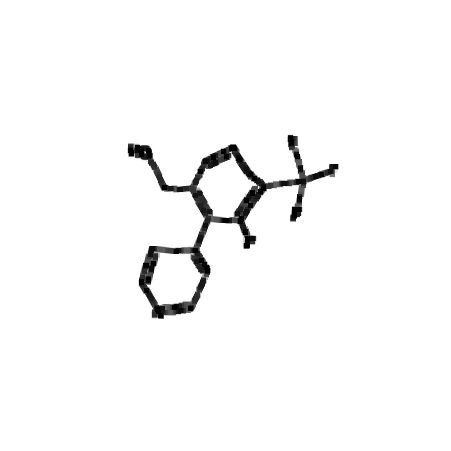 OCc1ccc(C(F)(F)F)c(F)c1-c1ccncc1